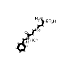 Cl.N[C@@H](CC[Se]CCC(=O)NCc1ccccc1)C(=O)O